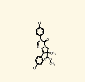 COC(=O)C1(C)CN(C(=O)N(C=O)c2ccc(Cl)cc2)N=C1c1ccc(Cl)cc1